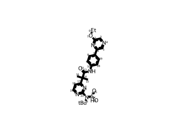 CCOc1cncc(-c2ccc(NC(=O)C(C)(C)c3ccnc(N([SH](=O)=O)C(C)(C)C)n3)cc2)n1